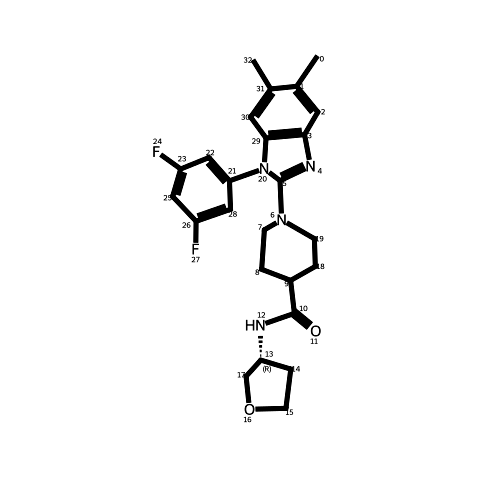 Cc1cc2nc(N3CCC(C(=O)N[C@@H]4CCOC4)CC3)n(-c3cc(F)cc(F)c3)c2cc1C